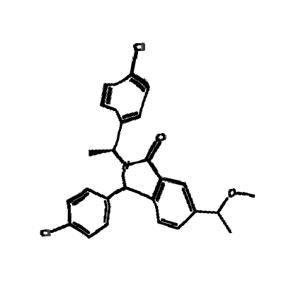 COC(C)c1ccc2c(c1)C(=O)N([C@@H](C)c1ccc(Cl)cc1)C2c1ccc(Cl)cc1